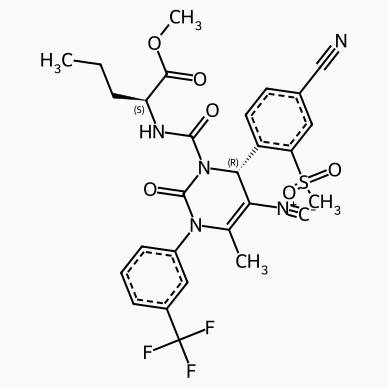 [C-]#[N+]C1=C(C)N(c2cccc(C(F)(F)F)c2)C(=O)N(C(=O)N[C@@H](CCC)C(=O)OC)[C@@H]1c1ccc(C#N)cc1S(C)(=O)=O